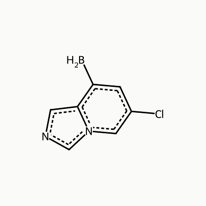 Bc1cc(Cl)cn2cncc12